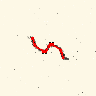 CCCCCCCCCCC(Oc1ccc(C(C)(C)c2ccc(OC(CCCCCCCCCC)[Si](C)(O[Si](C)(C)C)O[Si](C)(CCCCCCCCCCCOc3ccc(C(=O)OC4CCC(C(=O)OC5CCC(CCCC)CC5)CC4)cc3)O[Si](C)(C)C)cc2)cc1)[Si](C)(O[Si](C)(C)C)O[Si](C)(CCCCCCCCCCCOc1ccc(C(=O)OC2CCC(C(=O)OC3CCC(CCCC)CC3)CC2)cc1)O[Si](C)(C)C